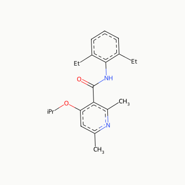 CCc1cccc(CC)c1NC(=O)c1c(OC(C)C)cc(C)nc1C